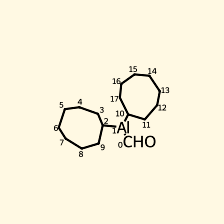 O=[CH][Al]([CH]1CCCCCCC1)[CH]1CCCCCCC1